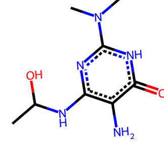 CC(O)Nc1nc(N(C)C)[nH]c(=O)c1N